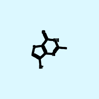 Cc1nc2c(Br)csc2c(=O)[nH]1